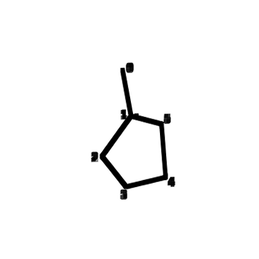 C[C]1CCCC1